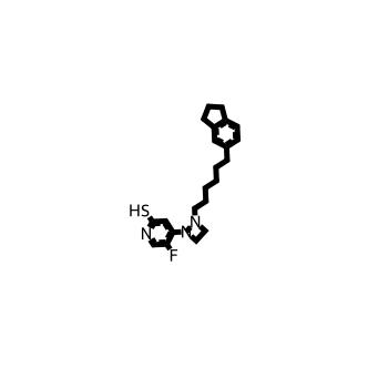 Fc1cnc(S)cc1N1CCN1CCCCCCc1ccc2c(c1)CCC2